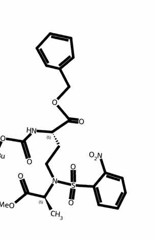 COC(=O)[C@H](C)N(CC[C@H](NC(=O)OC(C)(C)C)C(=O)OCc1ccccc1)S(=O)(=O)c1ccccc1[N+](=O)[O-]